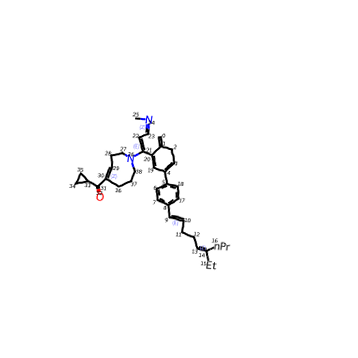 C=C1CC=C(c2ccc(/C=C/CC/C=C(/CC)CCC)cc2)C=C1/C(=C\C=N/C)N1CC/C=C(\C(=O)C2CC2)CCC1